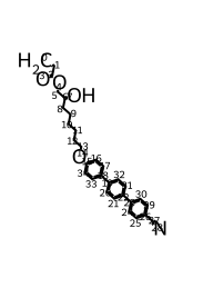 C=CC(=O)OCC(O)CCCCCCOc1ccc(-c2ccc(-c3ccc(C#N)cc3)cc2)cc1